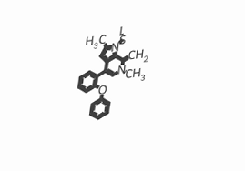 C=C1c2c(cc(C)n2SI)C(c2ccccc2Oc2ccccc2)=CN1C